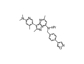 CCCN(Cc1ccc(-c2cnoc2)cc1)c1cc(C)nc2c(-c3cnc(N(C)C)cc3C)c(C)nn12